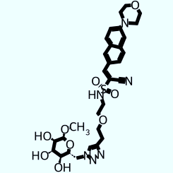 CO[C@H]1O[C@H](Cn2cc(CCOCCNS(=O)(=O)/C(C#N)=C/c3ccc4cc(N5CCOCC5)ccc4c3)nn2)[C@@H](O)[C@H](O)[C@H]1O